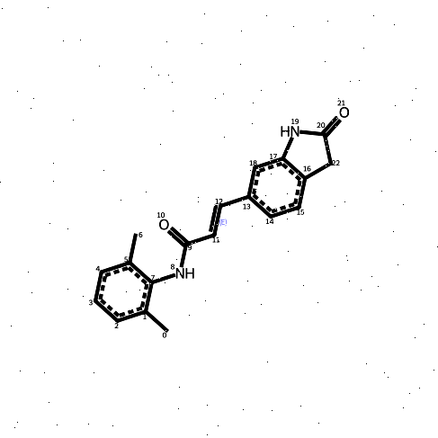 Cc1cccc(C)c1NC(=O)/C=C/c1ccc2c(c1)NC(=O)C2